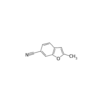 Cc1cc2ccc(C#N)cc2o1